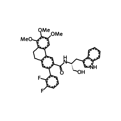 COc1cc2c(c(OC)c1OC)CCc1cc(-c3cccc(F)c3F)c(C(=O)N[C@@H](CO)Cc3c[nH]c4ccccc34)cc1-2